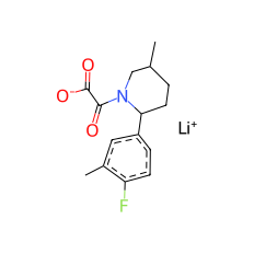 Cc1cc(C2CCC(C)CN2C(=O)C(=O)[O-])ccc1F.[Li+]